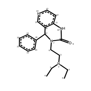 CCN(CC)CCN1C(=O)Nc2ccncc2C1c1ccccc1